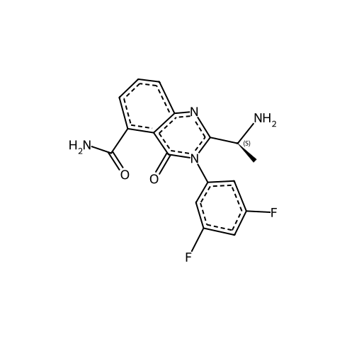 C[C@H](N)c1nc2cccc(C(N)=O)c2c(=O)n1-c1cc(F)cc(F)c1